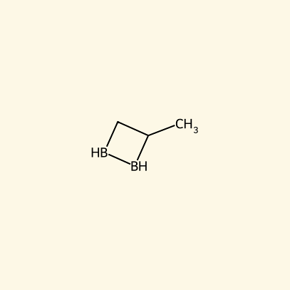 CC1BBC1